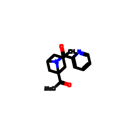 COC(=O)C12CC(C)CC(C1)N2C(=O)c1ccccn1